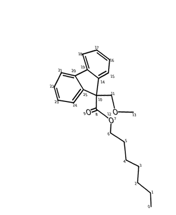 CCCCCCCOC(=O)C1(COC)c2ccccc2-c2ccccc21